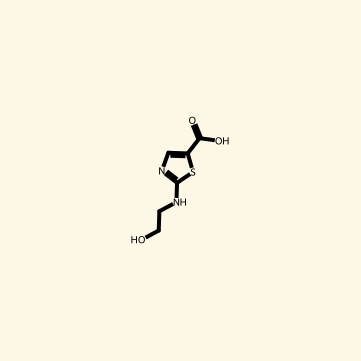 O=C(O)c1cnc(NCCO)s1